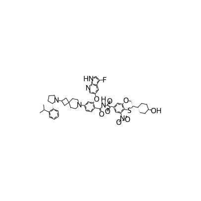 CC(C)c1ccccc1[C@@H]1CCCN1C1CC2(CCN(c3ccc(C(=O)NS(=O)(=O)c4cc5c(c([N+](=O)[O-])c4)S[C@@H]([C@H]4CC[C@H](O)CC4)CO5)c(Oc4cnc5[nH]cc(F)c5c4)c3)CC2)C1